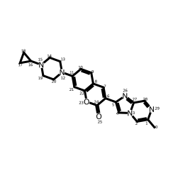 Cc1cn2cc(-c3cc4ccc(N5CCN(C6CC6)CC5)cc4oc3=O)nc2cn1